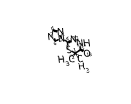 CC1(C)SC(n2cncn2)=NNC1=O